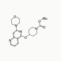 CC(C)(C)OC(=O)N1CCC(Oc2nc(N3CCOCC3)cc3ncccc23)CC1